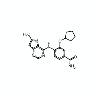 Cc1cc2ncnc(Nc3ccc(C(N)=O)cc3OC3CCCC3)c2s1